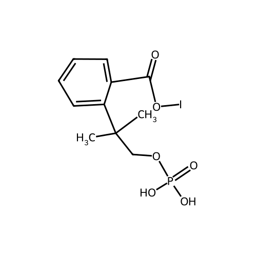 CC(C)(COP(=O)(O)O)c1ccccc1C(=O)OI